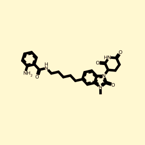 Cn1c(=O)n(C2CCC(=O)NC2=O)c2ccc(CCCCCNC(=O)c3ccccc3N)cc21